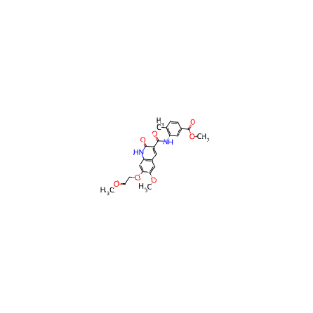 COCCOc1cc2[nH]c(=O)c(C(=O)Nc3cc(C(=O)OC)ccc3C)cc2cc1OC